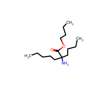 CCCCCC(N)(CCCC)C(=O)OCCCC